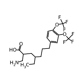 CCC(CCCc1ccc(OC(F)(F)F)c(OC(F)(F)F)c1)CC(CN)C(=O)O